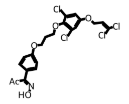 CC(=O)/C(=N\O)c1ccc(OCCCOc2c(Cl)cc(OCC=C(Cl)Cl)cc2Cl)cc1